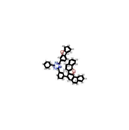 c1ccc(-c2nc(-c3cccc(-c4cc5ccc6ccccc6c5c5oc6c7ccccc7ccc6c45)c3)nc(-c3ccc4c(c3)oc3ccccc34)n2)cc1